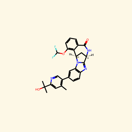 Cc1cc(C(C)(C)O)ncc1-c1ccc2nc3n(c2c1)[C@@H]1C[C@H]3NC(=O)c2cccc(OC(F)F)c21